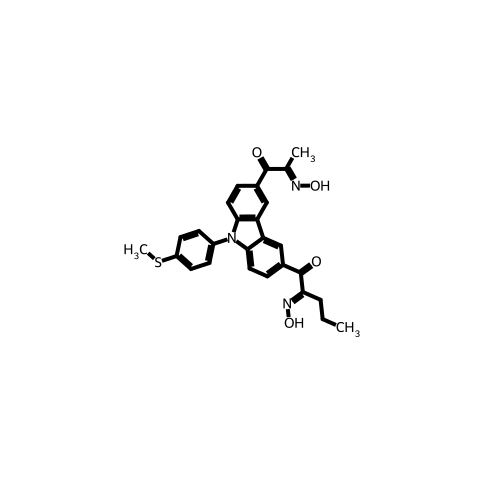 CCCC(=NO)C(=O)c1ccc2c(c1)c1cc(C(=O)C(C)=NO)ccc1n2-c1ccc(SC)cc1